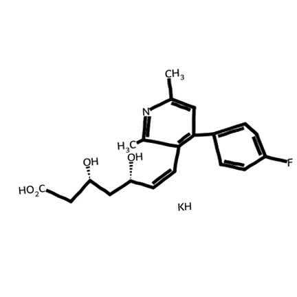 Cc1cc(-c2ccc(F)cc2)c(/C=C\[C@@H](O)C[C@@H](O)CC(=O)O)c(C)n1.[KH]